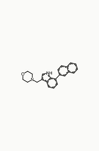 c1ccc2cc(-c3cccc4c(CN5CCOCC5)c[nH]c34)ccc2c1